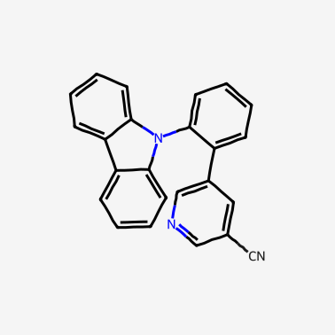 N#Cc1cncc(-c2ccccc2-n2c3ccccc3c3ccccc32)c1